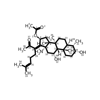 CC(=O)O[C@H]1C[C@@]2(C)[C@@](N)(C[C@@H](O)[C@H]3[C@@]4(C)CC[C@@H](O)[C@@H](C)[C@@H]4CC[C@@]32C)/C1=C(\CCC=C(C)C)C(C)=O